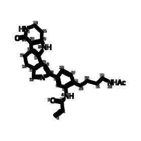 C=CC(=O)Nc1cc(-c2cc3c(cn2)CCc2c-3[nH]c3c2C(=O)NCC3)ccc1CCCCNC(C)=O